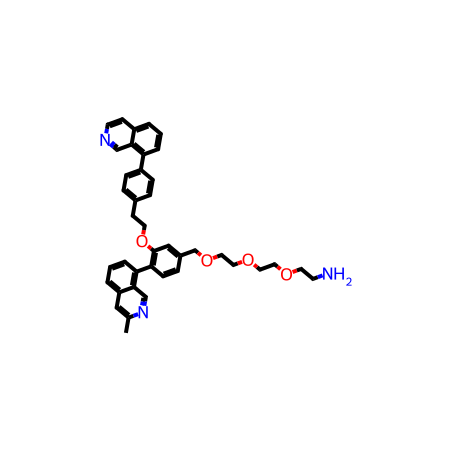 Cc1cc2cccc(-c3ccc(COCCOCCOCCN)cc3OCCc3ccc(-c4cccc5ccncc45)cc3)c2cn1